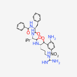 CC(C)[C@H](NC(=O)[C@H](Cc1ccccc1)NC(=O)c1ccccc1)C(=O)N[C@@H](CCCNC(=N)N)C(=O)c1cc([N+](=O)[O-])ccc1N